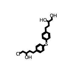 OCC(O)CCc1ccc(Sc2ccc(CCC(O)CCl)cc2)cc1